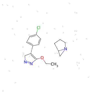 C1CC2CN2C1.CCOC1=C(c2ccc(Cl)cc2)CN=N1